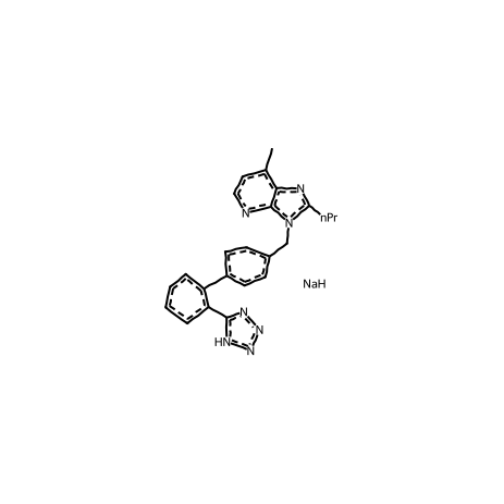 CCCc1nc2c(C)ccnc2n1Cc1ccc(-c2ccccc2-c2nnn[nH]2)cc1.[NaH]